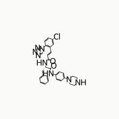 O=C(C=Cc1cc(Cl)ccc1-n1cnnn1)N[C@@H](Cc1ccccc1)C(=O)Nc1ccc(N2CCNCC2)cc1